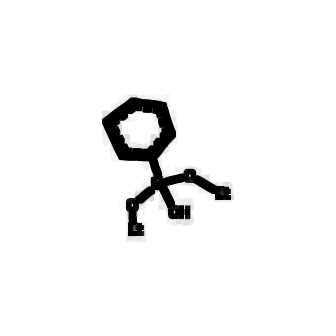 CCO[Si](O)(OCC)c1ccccc1